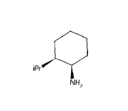 CC(C)[C@H]1CCCC[C@H]1N